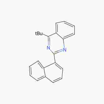 CC(C)(C)c1nc(-c2cccc3ccccc23)nc2ccccc12